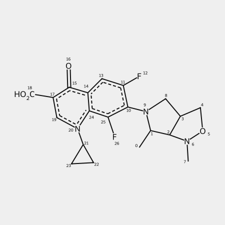 CC1C2C(CON2C)CN1c1c(F)cc2c(=O)c(C(=O)O)cn(C3CC3)c2c1F